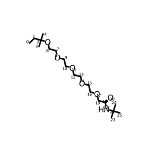 CCC(C)(C)OCCOCCOCCOCCOCC(=O)NC(C)(C)C